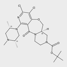 C[C@H]1CN(c2nc(Cl)c(Cl)c3c2C(=O)N2CCN(C(=O)OC(C)(C)C)C[C@@H]2CO3)[C@@H](C)CN1C